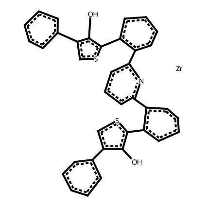 Oc1c(-c2ccccc2)csc1-c1ccccc1-c1cccc(-c2ccccc2-c2scc(-c3ccccc3)c2O)n1.[Zr]